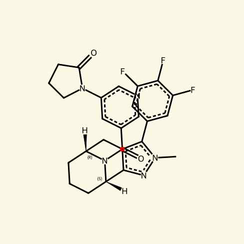 Cn1nc2c(c1-c1cc(F)c(F)c(F)c1)C[C@H]1CCC[C@@H]2N1C(=O)c1cncc(N2CCCC2=O)c1